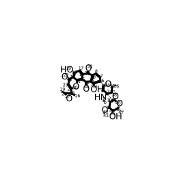 CN[C@@]1(C)C[C@H](c2ccc3c(c2O)C(=O)c2c(cc(O)c4c(=O)cc(C5(C)OC5C)oc24)C3=O)O[C@@H](C)[C@H]1O[C@@H]1C[C@H](OC)[C@H](O)[C@@H](C)O1